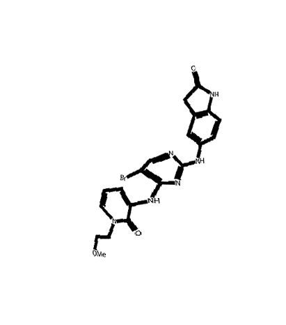 COCCn1cccc(Nc2nc(Nc3ccc4c(c3)CC(=O)N4)ncc2Br)c1=O